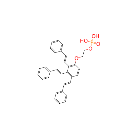 O=P(O)(O)OCCOc1ccc(C=Cc2ccccc2)c(C=Cc2ccccc2)c1C=Cc1ccccc1